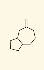 C=C1CCCC2CCCC2C1